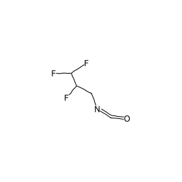 O=C=NCC(F)C(F)F